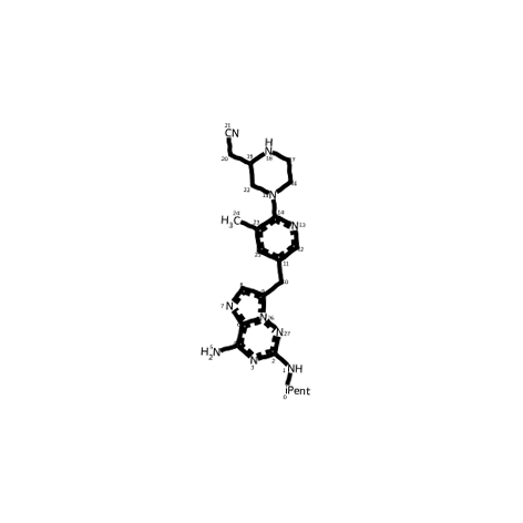 CCCC(C)Nc1nc(N)c2ncc(Cc3cnc(N4CCNC(CC#N)C4)c(C)c3)n2n1